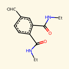 CCNC(=O)c1ccc([C]=O)cc1C(=O)NCC